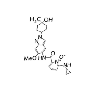 COc1cc2nn(C3CCC(C)(O)CC3)cc2cc1NC(=O)c1cccc(NC2CC2)[n+]1[O-]